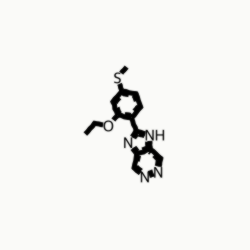 CCOc1cc(SC)ccc1-c1nc2cnncc2[nH]1